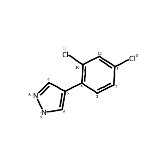 Clc1ccc(C2=C[N]N=[C]2)c(Cl)c1